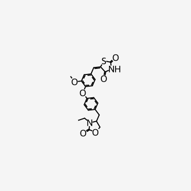 CCN1C(=O)OCC1Cc1ccc(Oc2ccc(C=C3SC(=O)NC3=O)cc2OC)cc1